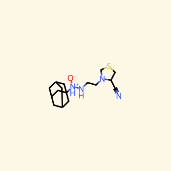 N#CC1CSCN1CCN[NH+]([O-])C12CC3CC(CC(C3)C1)C2